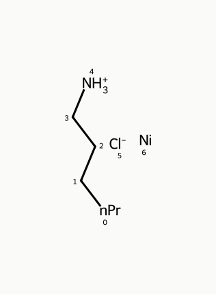 CCCCCC[NH3+].[Cl-].[Ni]